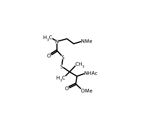 CNCCN(C)C(=O)SSC(C)(C)C(NC(C)=O)C(=O)OC